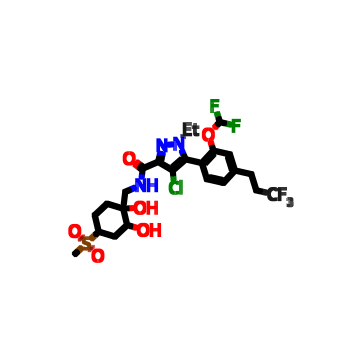 CCn1nc(C(=O)NCC2(O)CCC(S(C)(=O)=O)CC2O)c(Cl)c1-c1ccc(CCC(F)(F)F)cc1OC(F)F